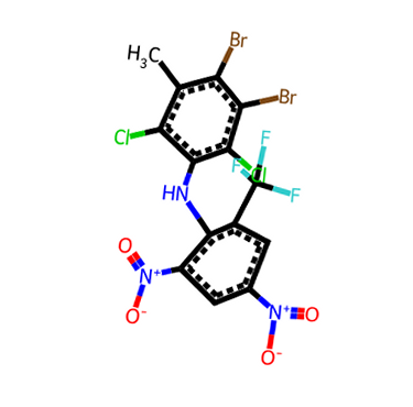 Cc1c(Cl)c(Nc2c([N+](=O)[O-])cc([N+](=O)[O-])cc2C(F)(F)F)c(Cl)c(Br)c1Br